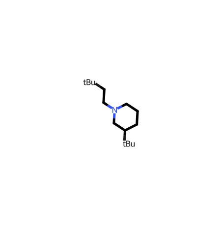 CC(C)(C)CCN1CCCC(C(C)(C)C)C1